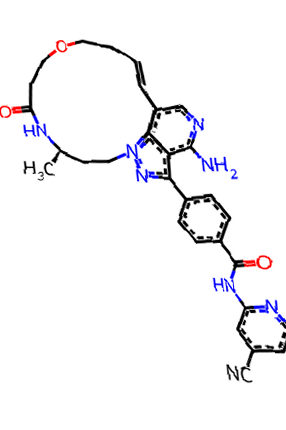 C[C@@H]1CCn2nc(-c3ccc(C(=O)Nc4cc(C#N)ccn4)cc3)c3c(N)ncc(c32)/C=C/CCOCCC(=O)N1